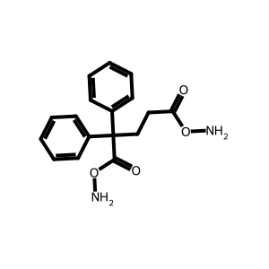 NOC(=O)CCC(C(=O)ON)(c1ccccc1)c1ccccc1